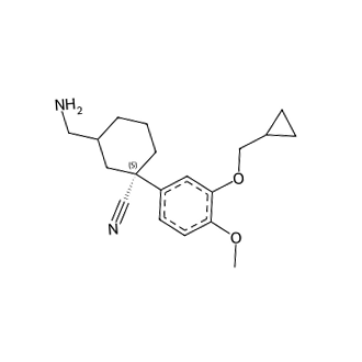 COc1ccc([C@]2(C#N)CCCC(CN)C2)cc1OCC1CC1